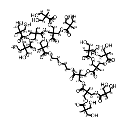 CC(CO)(CO)C(=O)OCC(C)(COC(=O)C(C)(CO)CO)C(=O)OCC(C)(COC(=O)C(C)(COC(=O)C(C)(CO)CO)COC(=O)C(C)(CO)CO)C(=O)OCCOCCOC(=O)C(C)(COC(=O)C(C)(COC(=O)C(C)(CO)CO)COC(=O)C(C)(CO)CO)COC(=O)C(C)(COC(=O)C(C)(CO)CO)COC(=O)C(C)(CO)CO